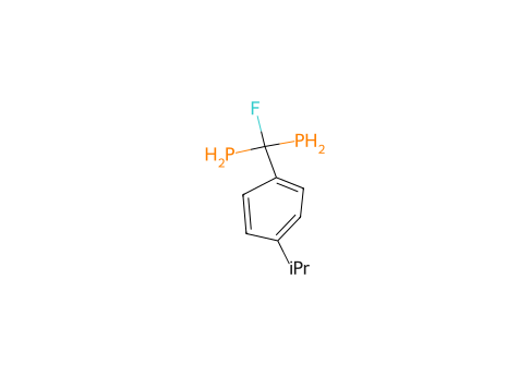 CC(C)c1ccc(C(F)(P)P)cc1